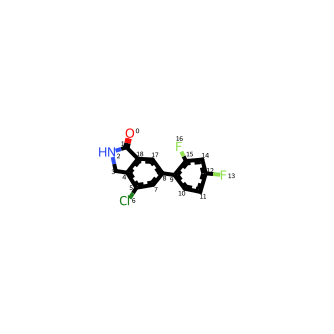 O=C1NCc2c(Cl)cc(-c3ccc(F)cc3F)cc21